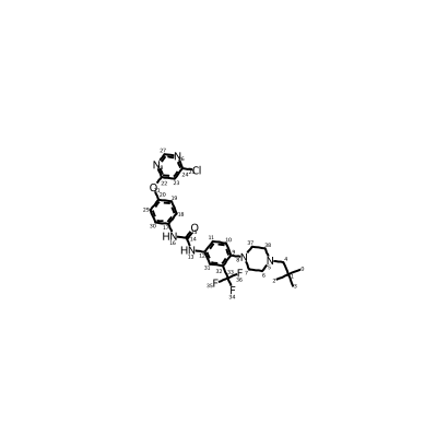 CC(C)(C)CN1CCN(c2ccc(NC(=O)Nc3ccc(Oc4cc(Cl)ncn4)cc3)cc2C(F)(F)F)CC1